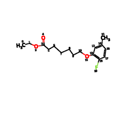 CCOC(=O)CCCCCCOc1cc(C)ccc1F